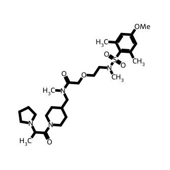 COc1cc(C)c(S(=O)(=O)N(C)CCOCC(=O)N(C)CC2CCN(C(=O)C(C)N3CCCC3)CC2)c(C)c1